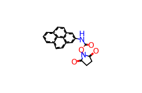 O=C(Nc1cc2ccc3cccc4ccc(c1)c2c34)ON1C(=O)CCC1=O